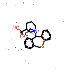 CC[N+]12CCCC(C(=O)O)C1[C@]21c2ccccc2CSc2ccccc21